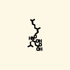 CC(C)=CCC/C(C)=C\CON[C@@H](CC(C)C)[C@@H](O)CC(=O)O